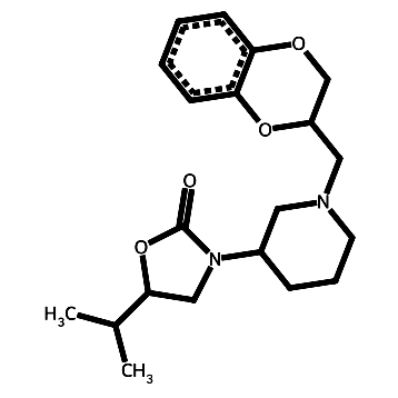 CC(C)C1CN(C2CCCN(CC3COc4ccccc4O3)C2)C(=O)O1